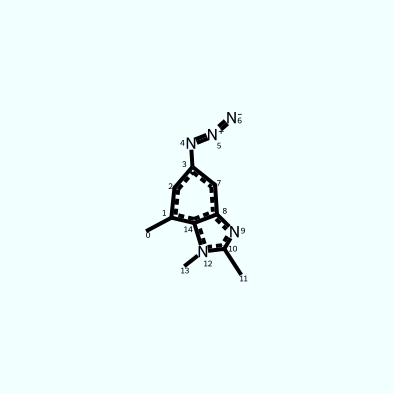 Cc1cc(N=[N+]=[N-])cc2nc(C)n(C)c12